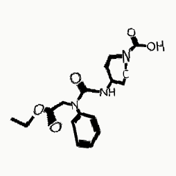 CCOC(=O)CN(C(=O)NC1CCN(C(=O)O)CC1)c1ccccc1